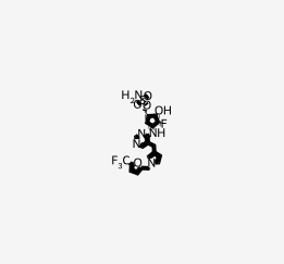 NS(=O)(=O)OC[C@H]1C[C@@H](Nc2ncncc2Cc2ccn(Cc3ccc(C(F)(F)F)o3)c2)[C@@H](F)[C@@H]1O